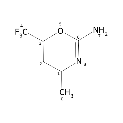 CC1CC(C(F)(F)F)OC(N)=N1